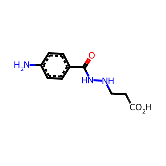 Nc1ccc(C(=O)NNCCC(=O)O)cc1